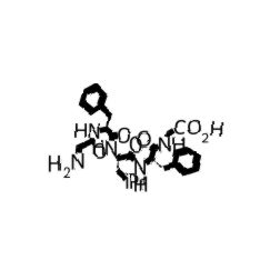 CC(C)C[C@H](NC(=O)[C@H](Cc1ccccc1)NC(=O)CN)C(=O)N[C@@H](Cc1ccccc1)C(=O)NCC(=O)O